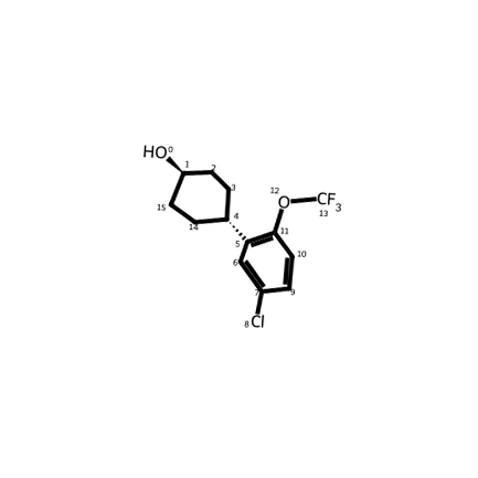 O[C@H]1CC[C@H](c2cc(Cl)ccc2OC(F)(F)F)CC1